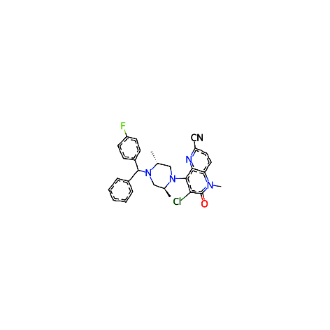 C[C@@H]1CN(c2c(Cl)c(=O)n(C)c3ccc(C#N)nc23)[C@@H](C)CN1C(c1ccccc1)c1ccc(F)cc1